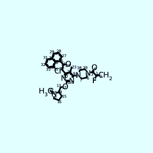 C=C(F)C(=O)N1CCN(c2nc(OCC3CCCN3C)nc3c2COC(c2cccc4cccc(Cl)c24)C3)CC1